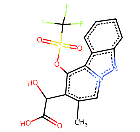 Cc1cn2nc3ccccc3c2c(OS(=O)(=O)C(F)(F)F)c1C(O)C(=O)O